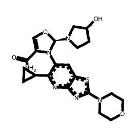 NC(=O)C1=CO[C@@H](N2CCC(O)C2)N1c1cc2sc(N3CCOCC3)nc2nc1C1CC1